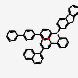 c1ccc(-c2ccc(-c3ccc(N(c4ccc5c(c4)sc4ccccc45)c4ccccc4-c4cccc(-c5cccc6ccccc56)c4)cc3)cc2)cc1